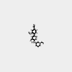 CCN1CCC[C@@H](Nc2nnc(-c3ccc(C#N)cc3OC)cc2C)C1